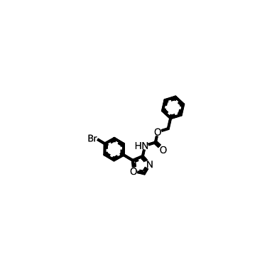 O=C(Nc1ncoc1-c1ccc(Br)cc1)OCc1ccccc1